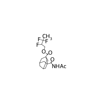 CC(=O)NC(=O)C12CC3CC(C1)CC(C(=O)OCC(F)C(C)(F)F)(C3)C2